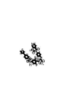 COC(=O)[C@H](Cc1ccc(-n2c(=O)c3ccncc3n(C)c2=O)cc1)NC(=O)c1c(F)cc(NS(=O)(=O)c2ccc(-c3ccsc3)cc2)cc1F